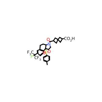 Cc1ccc(S(=O)(=O)C23CCN(C(=O)C4CC5(CC(C(=O)O)C5)C4)C2CCc2cc(C(F)(C(F)(F)F)C(F)(F)F)ccc23)cc1